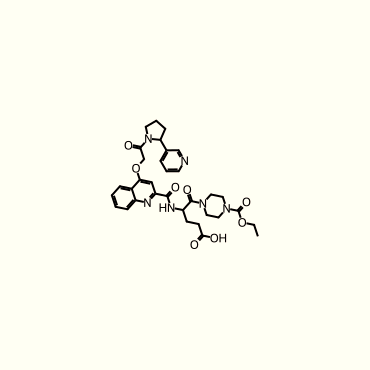 CCOC(=O)N1CCN(C(=O)C(CCC(=O)O)NC(=O)c2cc(OCC(=O)N3CCCC3c3cccnc3)c3ccccc3n2)CC1